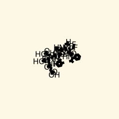 Cc1ccccc1C[C@H](NC(=O)[C@H](CCC(=O)O)NC(=O)[C@H](CC(=O)O)NC(=O)CCC(=O)O)C(=O)N[C@H](C(=O)N[C@@H](CC(C)C)C(=O)N[C@@H](CC(F)(F)F)C(=O)C(=O)N[C@H](c1ccccc1)C(C)C)C(C)(C)C